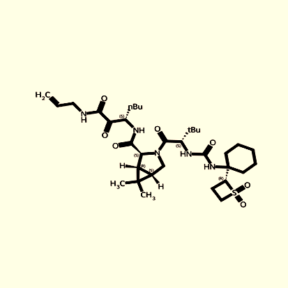 C=CCNC(=O)C(=O)[C@H](CCCC)NC(=O)[C@@H]1[C@@H]2[C@H](CN1C(=O)[C@@H](NC(=O)NC1([C@H]3CCS3(=O)=O)CCCCC1)C(C)(C)C)C2(C)C